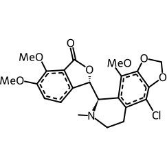 COc1ccc2c(c1OC)C(=O)O[C@@H]2[C@H]1c2c(c(Cl)c3c(c2OC)OCO3)CCN1C